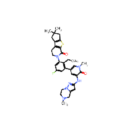 CC(=O)OCc1c(-c2cc(Nc3cc4n(n3)CCN(C)C4)c(=O)n(C)c2)cc(F)cc1N1CCc2c(sc3c2CC(C)(C)C3)C1=O